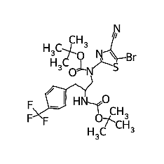 CC(C)(C)OC(=O)NC(Cc1ccc(C(F)(F)F)cc1)CN(C(=O)OC(C)(C)C)c1nc(C#N)c(Br)s1